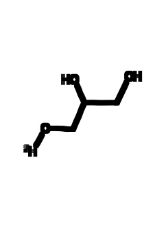 [2H]OCC(O)CO